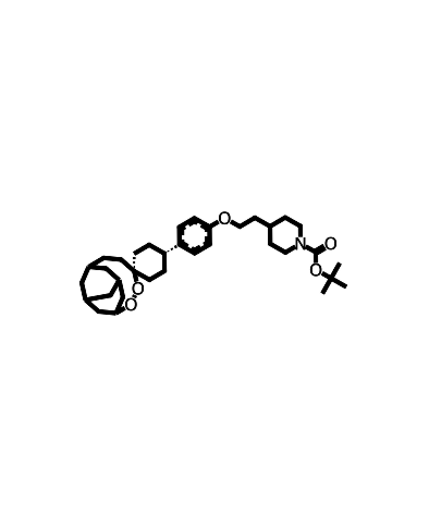 CC(C)(C)OC(=O)N1CCC(CCOc2ccc([C@H]3CC[C@]4(CCC5CC6CC(C5)CC(C6)OO4)CC3)cc2)CC1